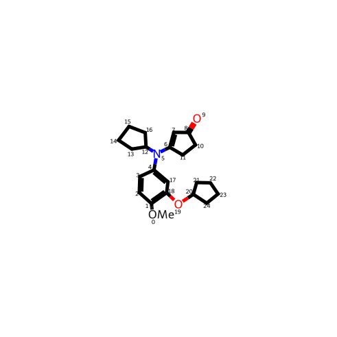 COc1ccc(N(C2=CC(=O)CC2)C2CCCC2)cc1OC1CCCC1